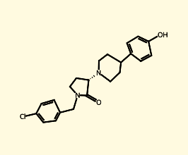 O=C1[C@@H](N2CCC(c3ccc(O)cc3)CC2)CCN1Cc1ccc(Cl)cc1